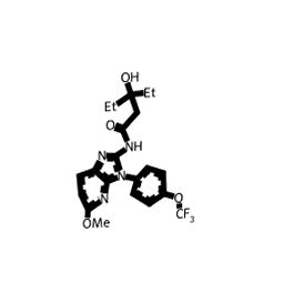 CCC(O)(CC)CC(=O)Nc1nc2ccc(OC)nc2n1-c1ccc(OC(F)(F)F)cc1